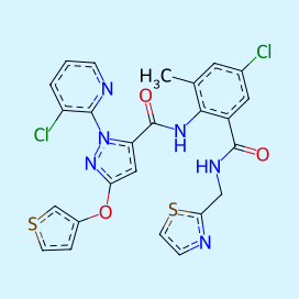 Cc1cc(Cl)cc(C(=O)NCc2nccs2)c1NC(=O)c1cc(Oc2ccsc2)nn1-c1ncccc1Cl